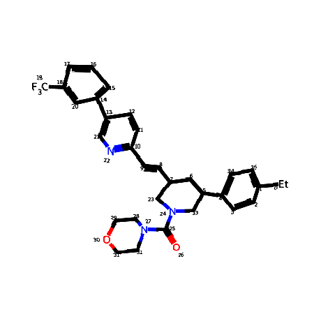 CCc1ccc(C2CC(/C=C/c3ccc(-c4cccc(C(F)(F)F)c4)cn3)CN(C(=O)N3CCOCC3)C2)cc1